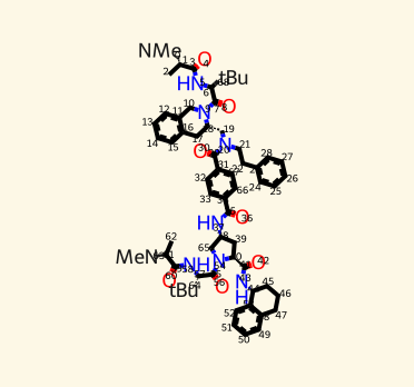 CN[C@@H](C)C(=O)NC(C(=O)N1Cc2ccccc2C[C@H]1CN(CCc1ccccc1)C(=O)c1ccc(C(=O)N[C@H]2C[C@@H](C(=O)N[C@@H]3CCCc4ccccc43)N(C(=O)[C@@H](NC(=O)[C@H](C)NC)C(C)(C)C)C2)cc1)C(C)(C)C